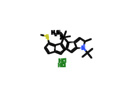 CSC1=C2C(=CC=[C]2[Zr]([CH3])([CH3])(=[SiH2])[C]2=C(C)C=C3C2=CC(C)N3C(C)(C)C)C=C1.Cl.Cl